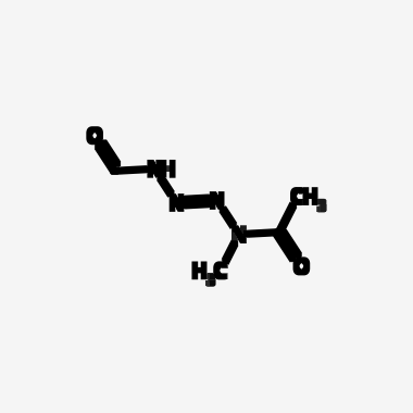 CC(=O)N(C)N=NNC=O